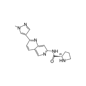 Cn1cc(-c2ccc3cnc(NC(=O)[C@H]4CCCN4)cc3n2)cn1